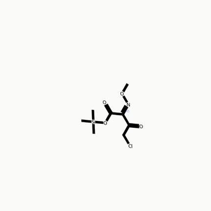 CO/N=C(/C(=O)CCl)C(=O)O[Si](C)(C)C